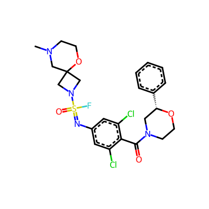 CN1CCOC2(C1)CN(S(=O)(F)=Nc1cc(Cl)c(C(=O)N3CCO[C@@H](c4ccccc4)C3)c(Cl)c1)C2